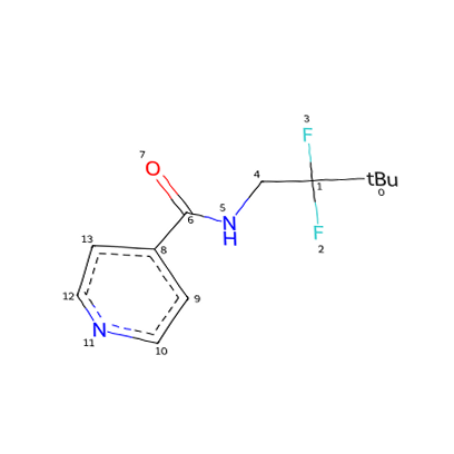 CC(C)(C)C(F)(F)CNC(=O)c1ccncc1